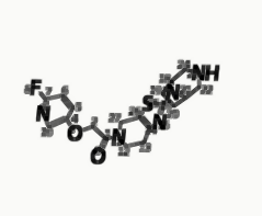 O=C(COc1ccc(F)nc1)N1CCc2nc(N3C4CCC3CNC4)sc2C1